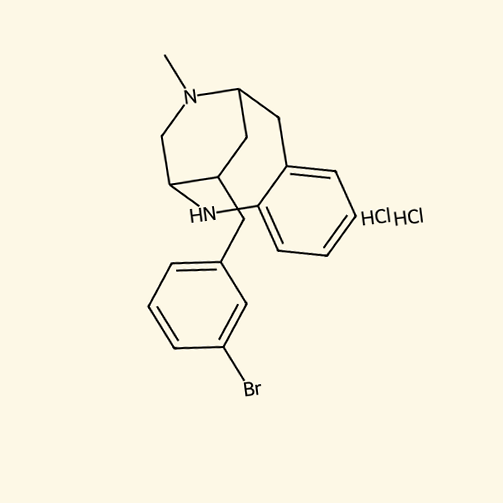 CN1CC2Nc3ccccc3CC1CC2Cc1cccc(Br)c1.Cl.Cl